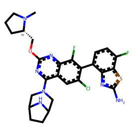 CN1CCC[C@H]1COc1nc(N2CC3CCC(C2)N3)c2cc(Cl)c(-c3ccc(F)c4sc(N)nc34)c(F)c2n1